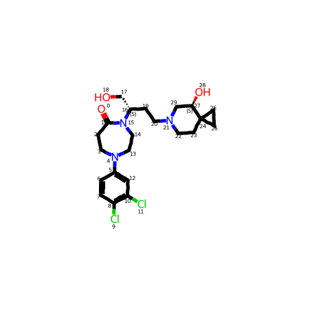 O=C1CCN(c2ccc(Cl)c(Cl)c2)CCN1[C@H](CO)CCN1CCC2(CC2)[C@H](O)C1